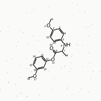 COc1ccc(NC(C)C(=O)Oc2cccc(OC)c2)cc1